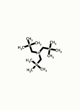 C[Si](C)(C)[CH2][Hf]([CH2][Si](C)(C)C)[CH2][Si](C)(C)C